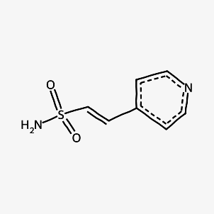 NS(=O)(=O)C=Cc1ccncc1